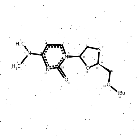 CN(C)c1ccn([C@H]2CS[C@@H](COC(C)(C)C)O2)c(=O)n1